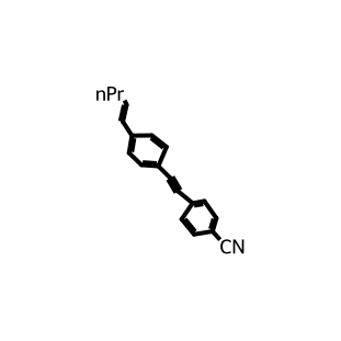 CCCC=Cc1ccc(C#Cc2ccc(C#N)cc2)cc1